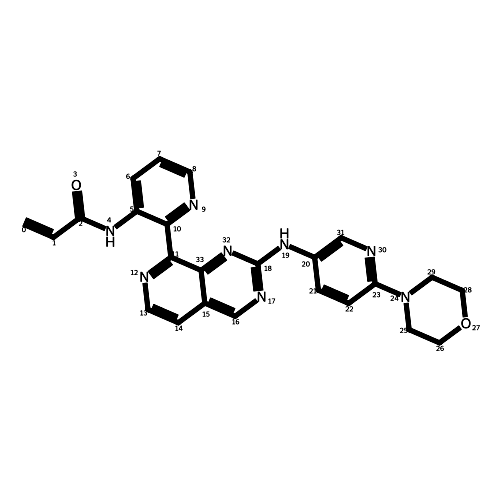 C=CC(=O)Nc1cccnc1-c1nccc2cnc(Nc3ccc(N4CCOCC4)nc3)nc12